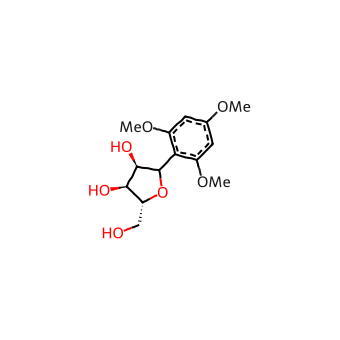 COc1cc(OC)c(C2O[C@H](CO)[C@@H](O)[C@H]2O)c(OC)c1